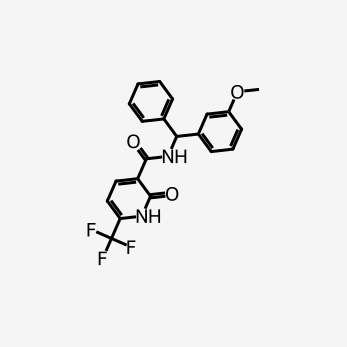 COc1cccc(C(NC(=O)c2ccc(C(F)(F)F)[nH]c2=O)c2ccccc2)c1